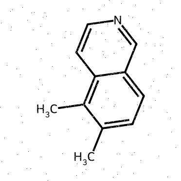 Cc1ccc2cnccc2c1C